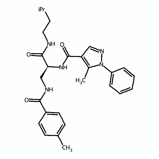 Cc1ccc(C(=O)NC[C@H](NC(=O)c2cnn(-c3ccccc3)c2C)C(=O)NCCC(C)C)cc1